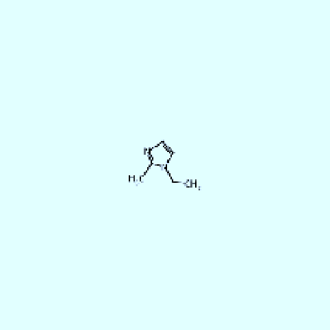 CCn1c[c]nc1C